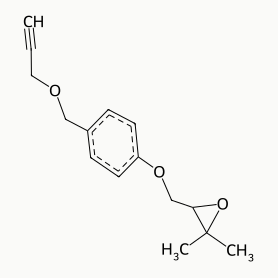 C#CCOCc1ccc(OCC2OC2(C)C)cc1